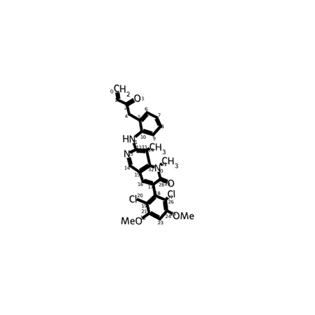 C=CC(=O)Cc1ccccc1Nc1ncc2cc(-c3c(Cl)c(OC)cc(OC)c3Cl)c(=O)n(C)c2c1C